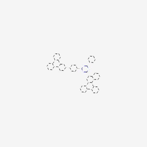 c1ccc(-c2nc(-c3ccc(-c4ccc5c6ccccc6c6ccccc6c5c4)cc3)nc(-c3cc4c5ccccc5c5ccccc5c4c4ccccc34)n2)cc1